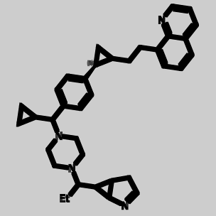 CCC(C1C2CC=NC21)N1CCN(C(c2ccc([C@H]3CC3CCc3cccc4cccnc34)cc2)C2CC2)CC1